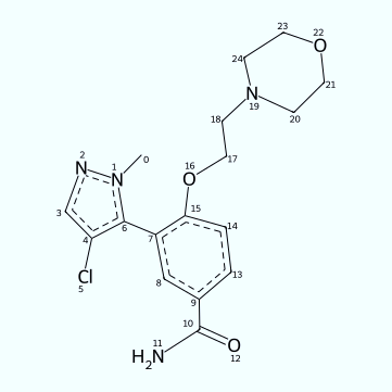 Cn1ncc(Cl)c1-c1cc(C(N)=O)ccc1OCCN1CCOCC1